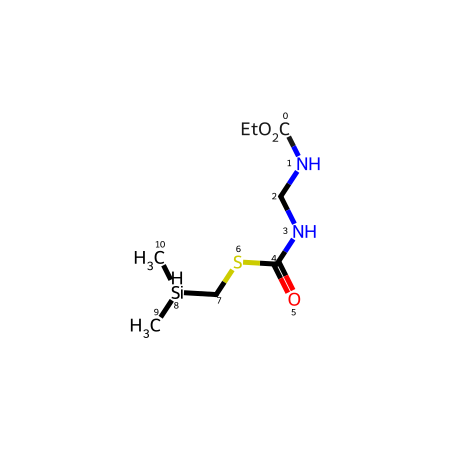 CCOC(=O)NCNC(=O)SC[SiH](C)C